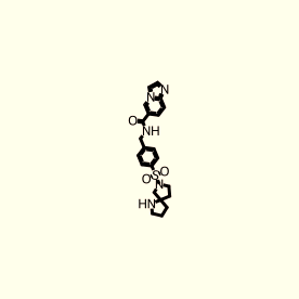 O=C(NCc1ccc(S(=O)(=O)N2CCC3(CCCN3)C2)cc1)c1ccc2nccn2c1